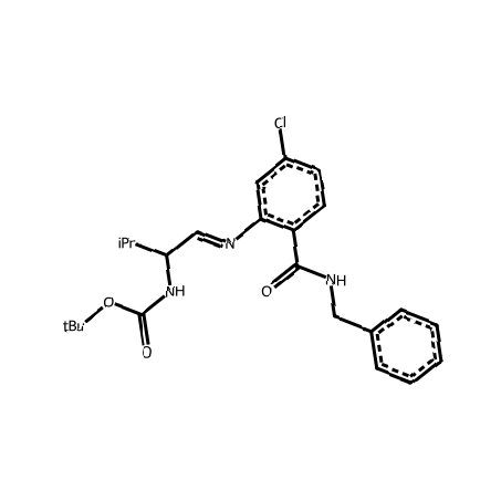 CC(C)C(C=Nc1cc(Cl)ccc1C(=O)NCc1ccccc1)NC(=O)OC(C)(C)C